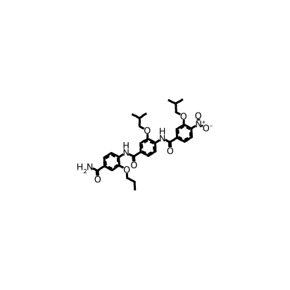 CCCOc1cc(C(N)=O)ccc1NC(=O)c1ccc(NC(=O)c2ccc([N+](=O)[O-])c(OCC(C)C)c2)c(OCC(C)C)c1